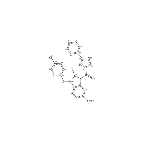 COc1ccc2c(c1)C(C(=O)c1nc(-c3ccncc3)no1)C(Cl)N2Cc1ccc(Cl)cc1